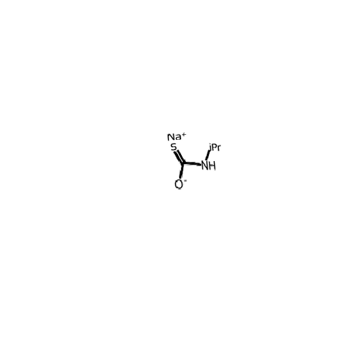 CC(C)NC([O-])=S.[Na+]